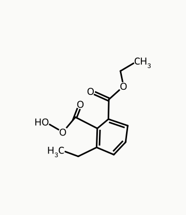 CCOC(=O)c1cccc(CC)c1C(=O)OO